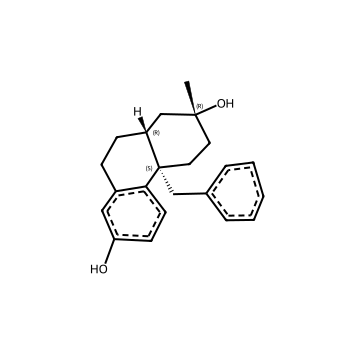 C[C@@]1(O)CC[C@@]2(Cc3ccccc3)c3ccc(O)cc3CC[C@@H]2C1